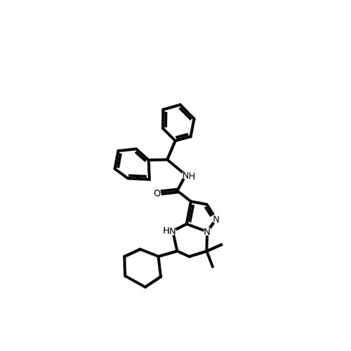 CC1(C)CC(C2CCCCC2)Nc2c(C(=O)NC(c3ccccc3)c3ccccc3)cnn21